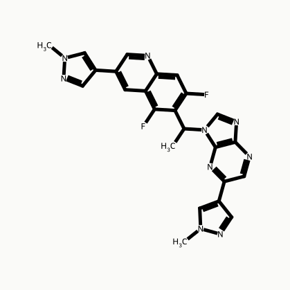 CC(c1c(F)cc2ncc(-c3cnn(C)c3)cc2c1F)n1cnc2ncc(-c3cnn(C)c3)nc21